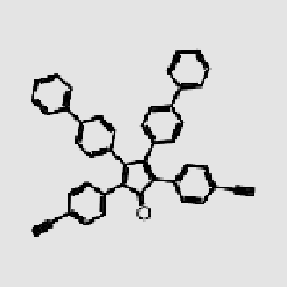 C#Cc1ccc(C2=C(c3ccc(-c4ccccc4)cc3)C(c3ccc(-c4ccccc4)cc3)=C(c3ccc(C#C)cc3)C2=O)cc1